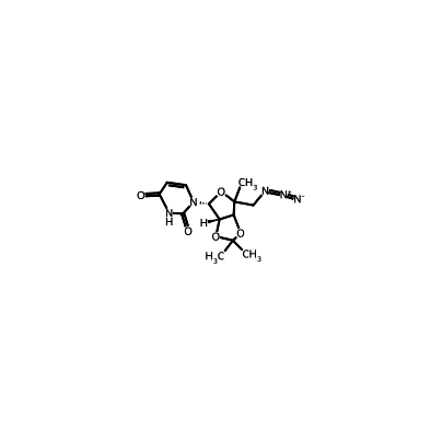 CC1(C)OC2[C@H](O1)[C@H](n1ccc(=O)[nH]c1=O)OC2(C)CN=[N+]=[N-]